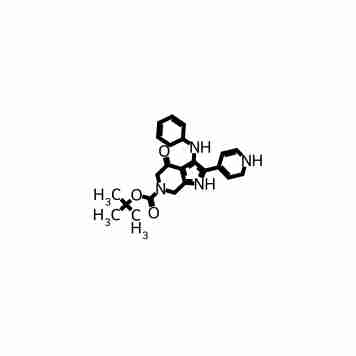 CC(C)(C)OC(=O)N1CC(=O)c2c([nH]c(C3=CCNC=C3)c2NC2C=CC=CC2)C1